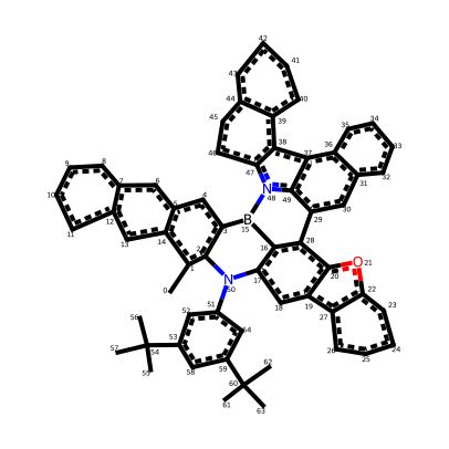 Cc1c2c(cc3cc4ccccc4cc13)B1c3c(cc4c(oc5ccccc54)c3-c3cc4ccccc4c4c5c6ccccc6ccc5n1c34)N2c1cc(C(C)(C)C)cc(C(C)(C)C)c1